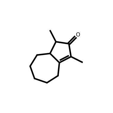 CC1=C2CCCCCC2C(C)C1=O